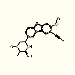 CC#Cc1cc2c(cc1OC(C)C)sc1ccc(C3C[S+]([O-])C(C)C(=N)N3)cc12